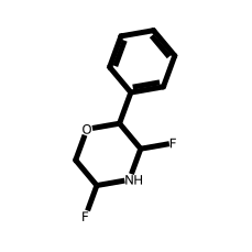 FC1COC(c2ccccc2)C(F)N1